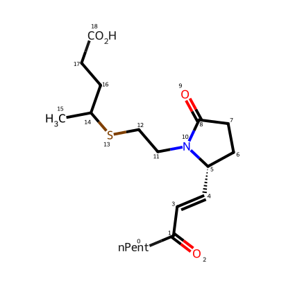 CCCCCC(=O)/C=C/[C@H]1CCC(=O)N1CCSC(C)CCC(=O)O